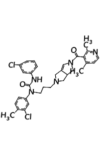 Cc1ccc(N(CCCN2CC3=CN(C(=O)c4c(C)ccnc4C)CC3C2)C(=O)Nc2cccc(Cl)c2)cc1Cl